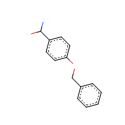 NC(O)c1ccc(OCc2ccccc2)cc1